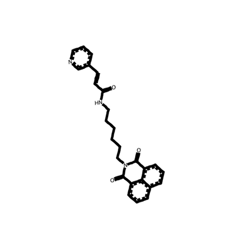 O=C(C=Cc1cccnc1)NCCCCCCN1C(=O)c2cccc3cccc(c23)C1=O